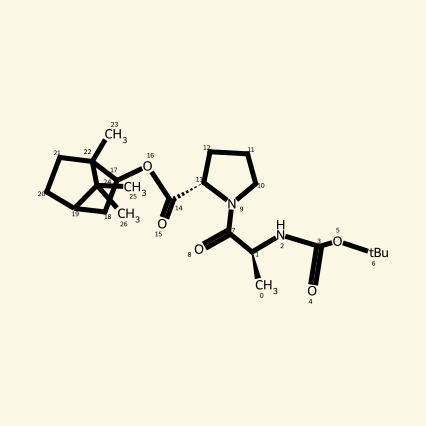 C[C@H](NC(=O)OC(C)(C)C)C(=O)N1CCC[C@H]1C(=O)OC1CC2CCC1(C)C2(C)C